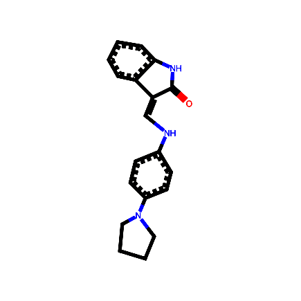 O=C1Nc2ccccc2C1=CNc1ccc(N2CCCC2)cc1